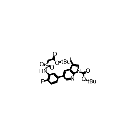 CC(C)(C)OC(=O)CS(=O)(=O)Nc1cc(-c2cnc3c(c2)c(I)cn3C(=O)OC(C)(C)C)ccc1F